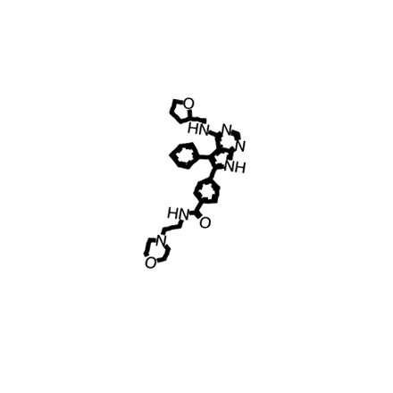 O=C(NCCN1CCOCC1)c1ccc(-c2[nH]c3ncnc(NCC4CCCO4)c3c2-c2ccccc2)cc1